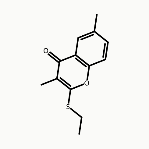 CCSc1oc2ccc(C)cc2c(=O)c1C